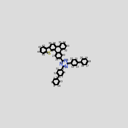 c1ccc(-c2ccc(-c3nc(-c4ccc(-c5ccccc5)cc4)nc(-c4ccc5c(c4)c4ccccc4c4ccc6c7ccccc7sc6c45)n3)cc2)cc1